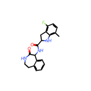 Cc1ccc(F)c2c1NC(C(=O)NC1C(=O)NCCc3ccccc31)C2